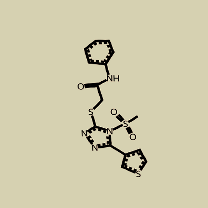 CS(=O)(=O)n1c(SCC(=O)Nc2ccccc2)nnc1-c1ccsc1